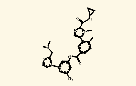 Cc1ccc(C(=O)Nc2cc(-n3ccnc3CN(C)C)cc(C(F)(F)F)c2)cc1-c1cnc(C(=O)NC2CC2)n1C